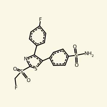 NS(=O)(=O)c1ccc(-c2sc(S(=O)(=O)CF)nc2-c2ccc(F)cc2)cc1